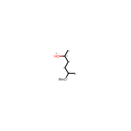 [CH2]C(CCC(C)O)OC